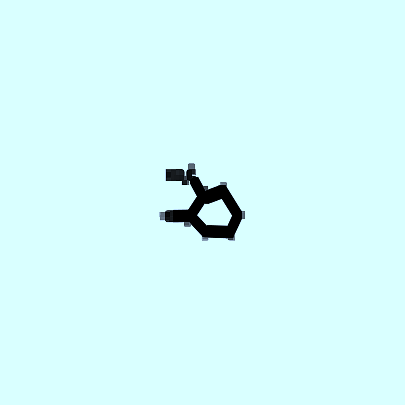 O=C(O)C1=CCC=CC1=O